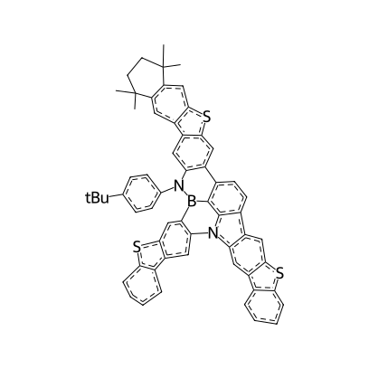 CC(C)(C)c1ccc(N2B3c4cc5sc6ccccc6c5cc4-n4c5cc6c(cc5c5ccc(c3c54)-c3cc4sc5cc7c(cc5c4cc32)C(C)(C)CCC7(C)C)sc2ccccc26)cc1